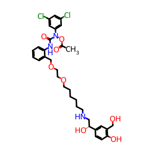 CC(=O)ON(C(=O)Nc1ccccc1COCCOCCCCCCNC[C@@H](O)c1ccc(O)c(CO)c1)c1cc(Cl)cc(Cl)c1